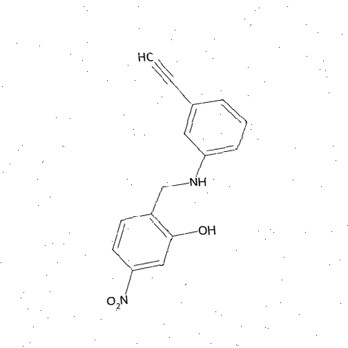 C#Cc1cccc(NCc2ccc([N+](=O)[O-])cc2O)c1